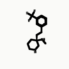 CN[C@@]1(CCc2cccc(C(F)(F)F)c2)CCCNC1